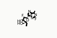 C=C[C@]1(CO)O[C@@H](c2cnc3c(C)nc(F)nn23)[C@H](F)[C@@H]1O